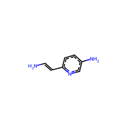 N/C=C/c1ccc(N)cn1